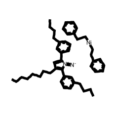 CCCCCCCCC1=C(c2cccc(CCCC)c2)[N+](=[N-])C(c2cccc(CCCC)c2)=C1.c1ccc(C[CH2][Ni][CH2]Cc2ccccc2)cc1